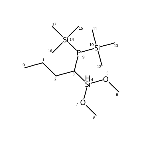 CCCC([SiH](OC)OC)P([Si](C)(C)C)[Si](C)(C)C